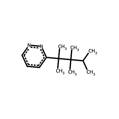 CC(C)C(C)(C)C(C)(C)c1cccnn1